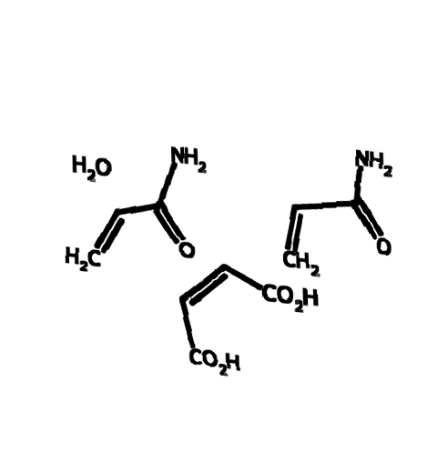 C=CC(N)=O.C=CC(N)=O.O.O=C(O)/C=C\C(=O)O